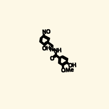 COc1cc(C(=O)NN=Cc2cc(N=O)ccc2O)ccc1O